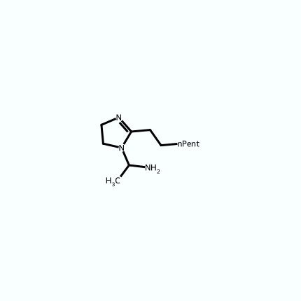 CCCCCCCC1=NCCN1C(C)N